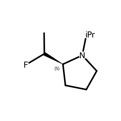 CC(F)[C@@H]1CCCN1C(C)C